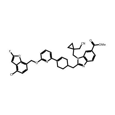 COC(=O)c1ccc2nc(CC3CC=C(c4cccc(OCc5ccc(Cl)c6cc(F)oc56)n4)CC3)n(CC3(CC#N)CC3)c2c1